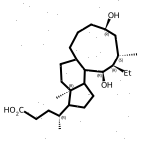 CC[C@@H]1[C@@H](C)C[C@H](O)CCCC2CC[C@@]3(C)C(CCC3[C@H](C)CCC(=O)O)C2[C@@H]1O